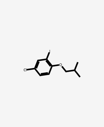 CC(C)COc1ccc(Cl)cc1I